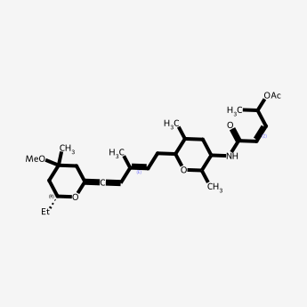 CC[C@@H]1CC(C)(OC)CC(=C=C/C(C)=C/CC2OC(C)C(NC(=O)/C=C\C(C)OC(C)=O)CC2C)O1